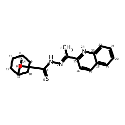 CC(=NNC(=S)N1CC2CCC(CC2)C1)c1ccc2ccccc2n1